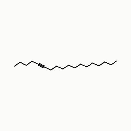 CCCCC#CCCCCCCCCCCCC